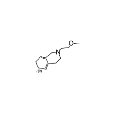 COCCN1CCC2=C[C@H](C)CC=C2C1